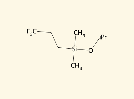 CC(C)O[Si](C)(C)CCC(F)(F)F